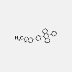 CC1=Nc2ccc(-c3ccc(-c4c5c#cccc5c(-c5ccccc5)c5ccccc45)cc3)cc2C1